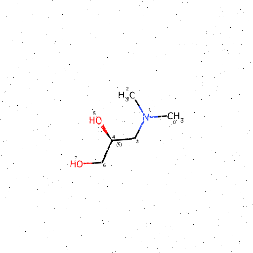 CN(C)C[C@H](O)CO